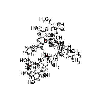 CCCCOC(CNC1(C)CC(OC2C(Oc3c4cc5cc3Oc3ccc(cc3Cl)[C@@H](O)[C@@H]3NC(=O)C(NC(=O)[C@@H]5NC(=O)C(CC(N)=O)NC(=O)C(NC(=O)[C@@H](CC(C)C)NC)[C@H](O)c5ccc(c(Cl)c5)O4)c4ccc(O)c(c4)-c4c(O)cc(O)cc4[C@H](C(=O)O)NC3=O)OC(CO)C(O)C2O)OC(C)C1O)C(=O)O